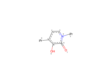 CC(C)c1ccn(C(C)C)c(=O)c1O